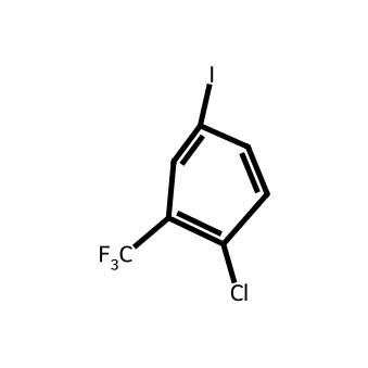 FC(F)(F)c1cc(I)ccc1Cl